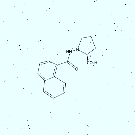 O=C(NN1CCC[C@H]1C(=O)O)c1[c]ccc2ccccc12